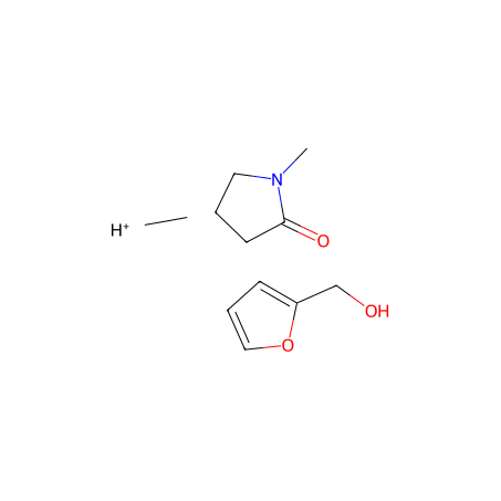 CC.CN1CCCC1=O.OCc1ccco1.[H+]